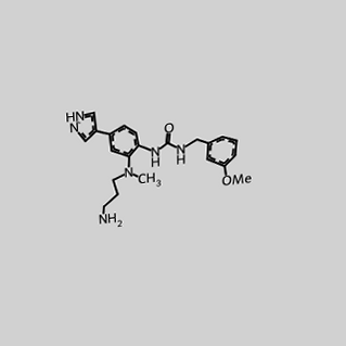 COc1cccc(CNC(=O)Nc2ccc(-c3cn[nH]c3)cc2N(C)CCCN)c1